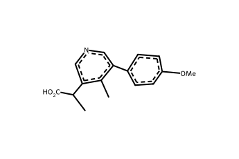 COc1ccc(-c2cncc(C(C)C(=O)O)c2C)cc1